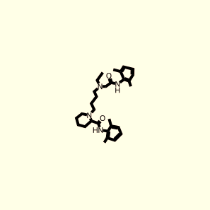 CCN(CCCCN1CCCCC1C(=O)Nc1c(C)cccc1C)CC(=O)Nc1c(C)cccc1C